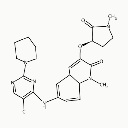 CN1CC[C@@H](OC2=CC3C=C(Nc4nc(N5CCCCC5)ncc4Cl)C=CC3N(C)C2=O)C1=O